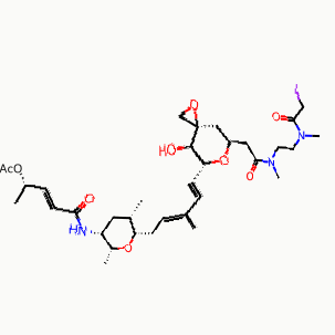 CC(=O)O[C@@H](C)C=CC(=O)N[C@@H]1C[C@H](C)[C@H](CC=C(C)C=C[C@H]2O[C@H](CC(=O)N(C)CCN(C)C(=O)CI)C[C@@]3(CO3)[C@@H]2O)O[C@@H]1C